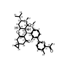 COc1ccc(-c2ccc(C)c(C(C)=O)n2)c(C)c1[C@H]1C2=C(CC3(CC3)CC2=O)O[C@H]2C[C@@H](C(C)C)N(C)C(=O)[C@@H]21